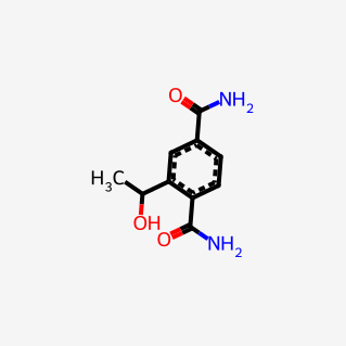 CC(O)c1cc(C(N)=O)ccc1C(N)=O